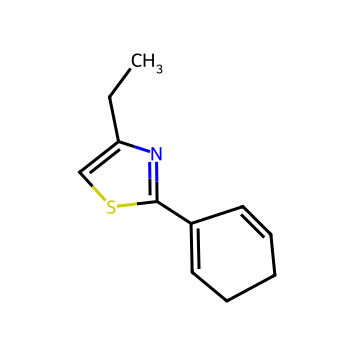 CCc1csc(C2=CCCC=C2)n1